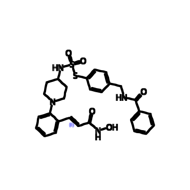 O=C(/C=C/c1ccccc1N1CCC(NS(=O)(=O)Sc2ccc(CNC(=O)c3ccccc3)cc2)CC1)NO